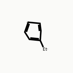 C[CH]c1cc[c]cc1